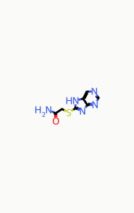 NC(=O)CSc1nc2ncncc2[nH]1